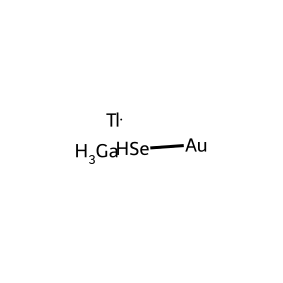 [GaH3].[SeH][Au].[Tl]